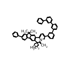 C=C1[n+]2cc(-c3cccc(-c4cccc(-c5cccc(-c6ccccc6)c5)c4)c3)ccc2-c2cc3c(cc2C1(CC)CC)-c1ccc(-c2ccccc2)cc1C3(C)C